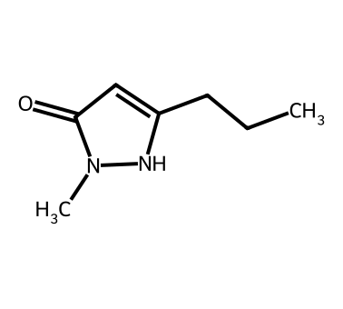 CCCc1cc(=O)n(C)[nH]1